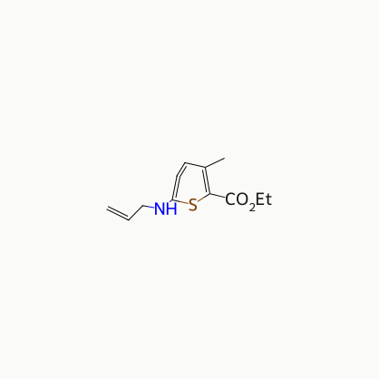 C=CCNC1=C=CC(C)=C(C(=O)OCC)S1